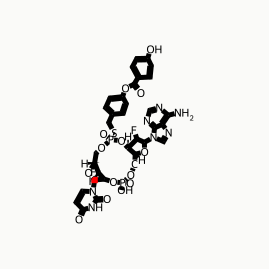 Nc1ncnc2c1ncn2C1O[C@@H]2COP(=O)(O)OC3C(n4ccc(=O)[nH]c4=O)O[C@H](CO[P@](=O)(SCc4ccc(OC(=O)c5ccc(O)cc5)cc4)O[C@H]2C1F)[C@H]3F